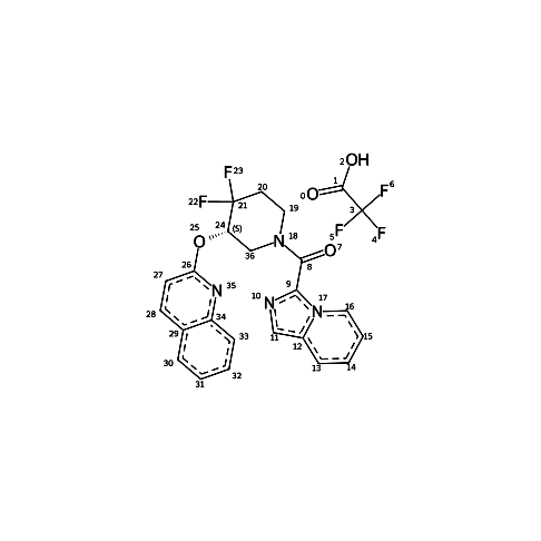 O=C(O)C(F)(F)F.O=C(c1ncc2ccccn12)N1CCC(F)(F)[C@@H](Oc2ccc3ccccc3n2)C1